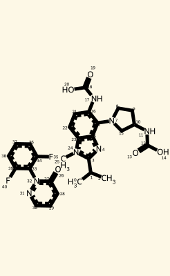 CC(C)c1nc2c(N3CCC(NC(=O)O)C3)c(NC(=O)O)ccc2n1C.O=c1cccnn1-c1c(F)cccc1F